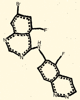 Fc1c(Nc2ncnc3cc(Br)cc(F)c23)ccc2nnccc12